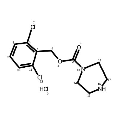 Cl.O=C(OCc1c(Cl)cccc1Cl)N1CCNCC1